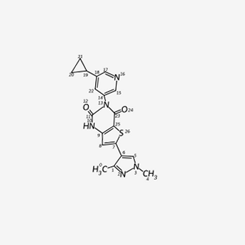 Cc1nn(C)cc1-c1cc2[nH]c(=O)n(-c3cncc(C4CC4)c3)c(=O)c2s1